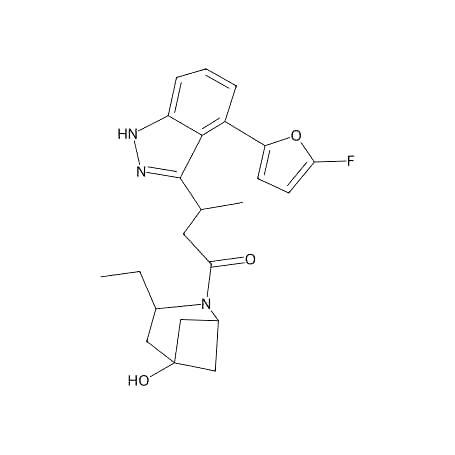 CCC1CC2(O)CC(C2)N1C(=O)CC(C)c1n[nH]c2cccc(-c3ccc(F)o3)c12